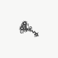 O=C(CCCCc1cccs1)NNC(=O)N1Cc2ccccc2Oc2ccc(Cl)cc21